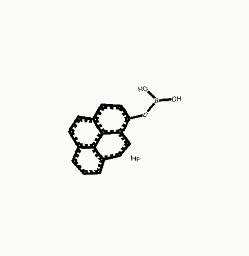 F.OB(O)Oc1ccc2ccc3cccc4ccc1c2c34